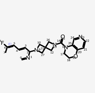 C=NC(C=C/C=C(\C)F)N1CC2(CN(C(=O)N3CCOc4ccncc43)C2)C1